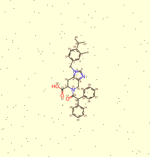 Cc1cc(Cn2cnc3c2CC(C(=O)O)N(C(=O)C(c2ccccc2)c2ccccc2)C3)ccc1C(C)C